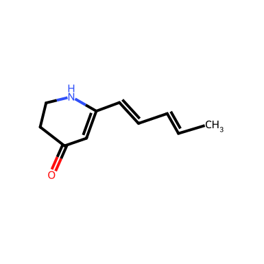 CC=CC=CC1=CC(=O)CCN1